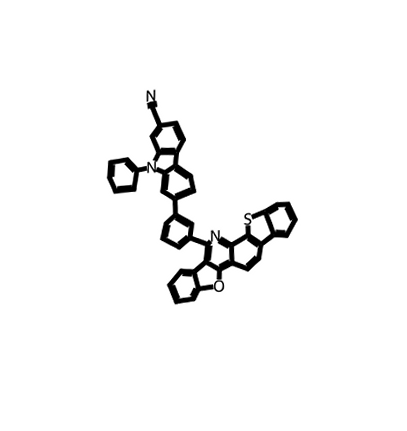 N#Cc1ccc2c3ccc(-c4cccc(-c5nc6c(ccc7c8ccccc8sc76)c6oc7ccccc7c56)c4)cc3n(-c3ccccc3)c2c1